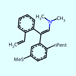 C=Cc1ccccc1/C(=C\N(C)C)c1cc(SC)ccc1CCCCC